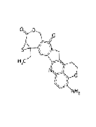 CCC12SC1C(=O)OCc1c2cc2n(c1=O)Cc1c-2nc2ccc(N)c3c2c1CCO3